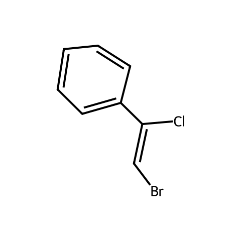 ClC(=CBr)c1ccccc1